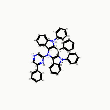 c1ccc(B2c3c(c4ccccc4n3-c3ccccc3)N(c3cncc(-c4ccccc4)n3)c3c2n(-c2ccccc2)c2ccccc32)cc1